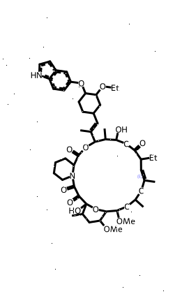 CCOC1CC(C=C(C)C2OC(=O)C3CCCCN3C(=O)C(=O)C3(O)OC(C(OC)CC(C)C/C(C)=C/C(CC)C(=O)CC(O)C2C)C(OC)CC3C)CCC1Oc1ccc2[nH]ccc2c1